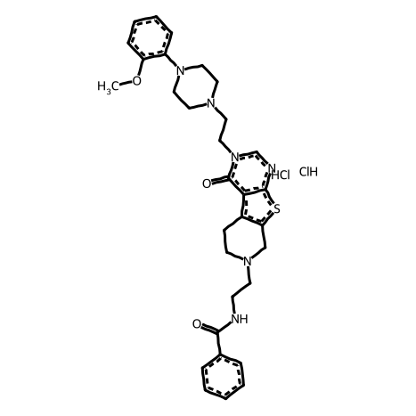 COc1ccccc1N1CCN(CCn2cnc3sc4c(c3c2=O)CCN(CCNC(=O)c2ccccc2)C4)CC1.Cl.Cl